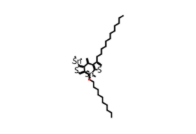 C=C(c1c(CCCCCCCCCCCC)cs[c]1[Sn]([CH3])([CH3])[CH3])c1c(CCCCCCCCCCCC)cs[c]1[Sn]([CH3])([CH3])[CH3]